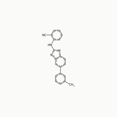 Cc1cccc(-c2ccc3nc(Nc4ccccc4C#N)nn3c2)c1